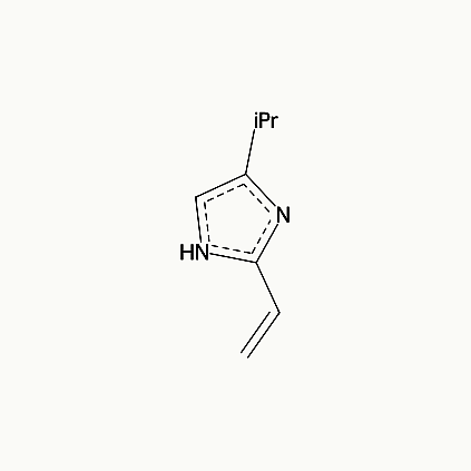 C=Cc1nc(C(C)C)c[nH]1